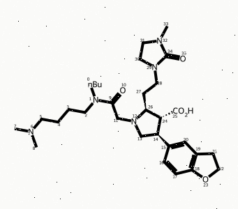 CCCCN(CCCCN(C)C)C(=O)CN1C[C@H](c2ccc3c(c2)CCO3)[C@@H](C(=O)O)[C@@H]1CCN1CCN(C)C1=O